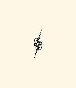 CCCCCCCCOC(=O)c1c2ccccc2c(C(=O)OCCCCCCCC)c2c(C)cccc12